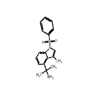 Cc1cn(S(=O)(=O)c2ccccc2)c2cccc(C(C)(C)N)c12